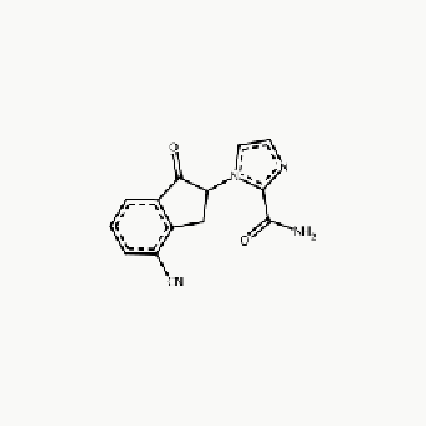 N#Cc1cccc2c1CC(n1ccnc1C(N)=O)C2=O